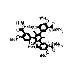 CCCCOc1cc(OC)c(-c2c(C)c(-c3cc(C(=O)NN)c(OCCCC)cc3OC)c(C)c(-c3cc(C(=O)NN)c(OCCCC)cc3OC)c2C)cc1C(=O)NN